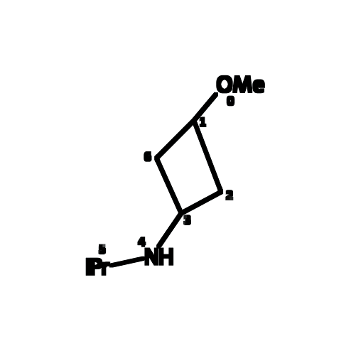 COC1CC(NC(C)C)C1